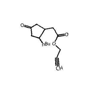 C#CCOC(=O)CC1CC(=O)CC1CCCC